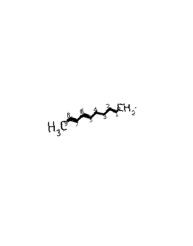 [CH2]C=CCCC=CC=CC